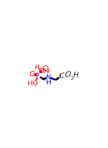 O.O=C(O)CNCP(=O)(O)O